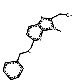 Cn1c(CO)nc2ccc(OCc3ccccc3)nc21